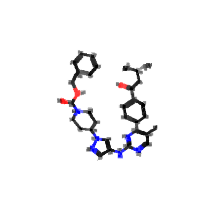 CCC[C@@H](C#N)CC(=O)c1ccc(-c2nc(Nc3cnn(C4CCN(C(=O)OCc5ccccc5)CC4)c3)ncc2C)cc1